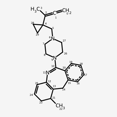 C=C=C(C)C1(CN2CCN(C3=NC4=C(Cc5ccccc53)C(C)CC=C4)CC2)CC1